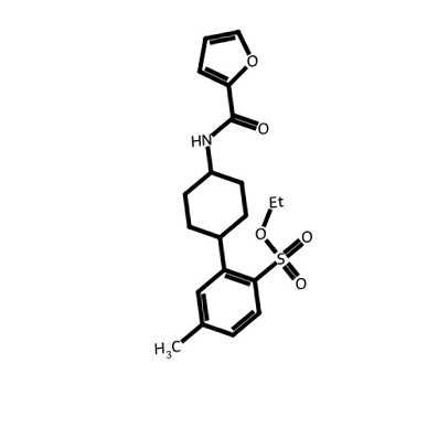 CCOS(=O)(=O)c1ccc(C)cc1C1CCC(NC(=O)c2ccco2)CC1